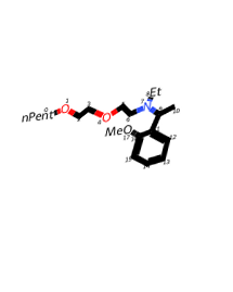 CCCCCOCCOCCN(CC)C(C)c1ccccc1OC